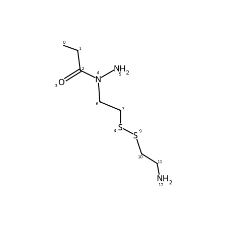 CCC(=O)N(N)CCSSCCN